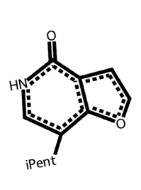 CCCC(C)c1c[nH]c(=O)c2ccoc12